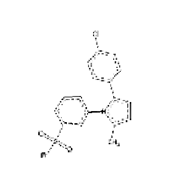 Cc1ccc(-c2ccc(Cl)cc2)n1-c1cccc(S(=O)(=O)C(C)C)c1